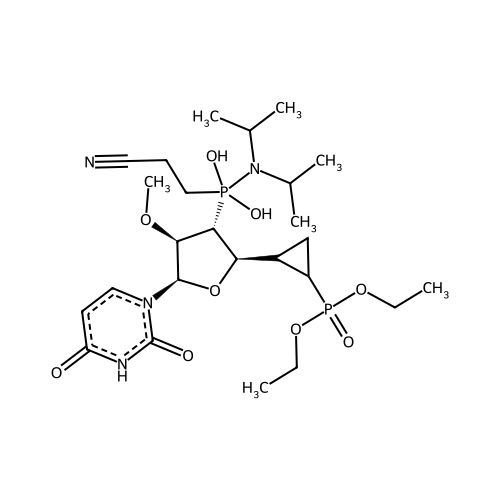 CCOP(=O)(OCC)C1CC1[C@H]1O[C@@H](n2ccc(=O)[nH]c2=O)[C@@H](OC)[C@@H]1P(O)(O)(CCC#N)N(C(C)C)C(C)C